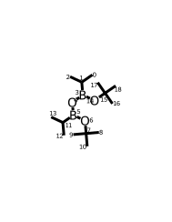 CC(C)B(OB(OC(C)(C)C)C(C)C)OC(C)(C)C